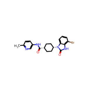 Cc1ccc(NC(=O)[C@H]2CC[C@@H](n3c(=O)[nH]c4c(Br)cccc43)CC2)cn1